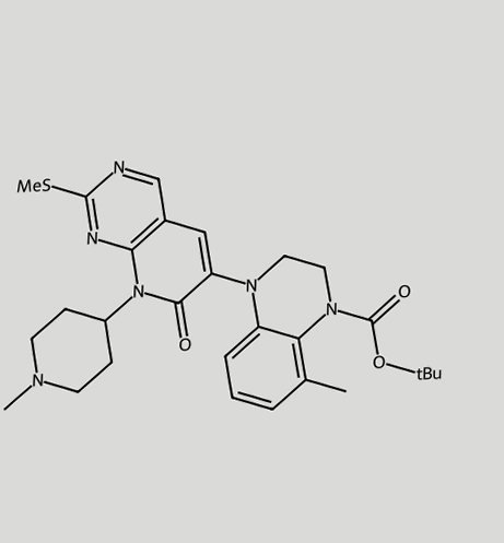 CSc1ncc2cc(N3CCN(C(=O)OC(C)(C)C)c4c(C)cccc43)c(=O)n(C3CCN(C)CC3)c2n1